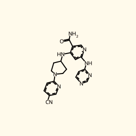 N#Cc1ccc(N2CCC(Nc3cc(Nc4ccncn4)ncc3C(N)=O)CC2)nc1